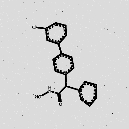 O=C(NO)C(c1ccccc1)c1ccc(-c2cccc(Cl)c2)cc1